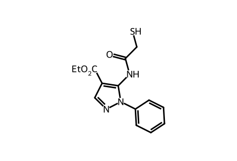 CCOC(=O)c1cnn(-c2ccccc2)c1NC(=O)CS